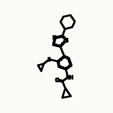 O=C(Nc1ccc(-c2cnc(C3CCCCC3)s2)c(SC2CC2)c1)C1CC1